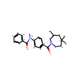 CC1CN(C(=O)c2ccc(N(C)C(=O)c3ccccc3)cc2)CCC(C)(C)C1